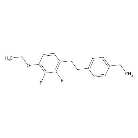 CCOc1ccc(CCc2ccc(CC)cc2)c(F)c1F